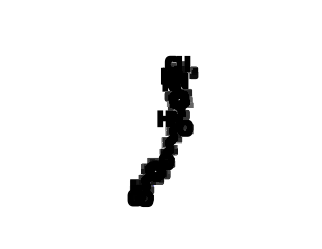 Cc1nnc(-c2ccc(CNC(=O)CCCCCOc3ccc(/C=C/S(=O)(=O)F)cc3)cc2)nn1